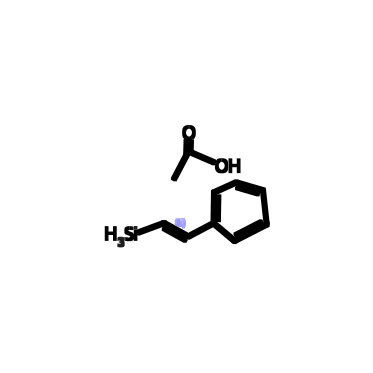 CC(=O)O.[SiH3]/C=C/c1ccccc1